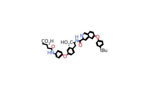 CC(C)(C)c1ccc(Oc2ccc3cnc(C(=O)N[C@@H](Cc4ccc(Oc5ccc(NC(=O)CCCC(=O)O)cc5)cc4)C(=O)O)cc3c2)cc1